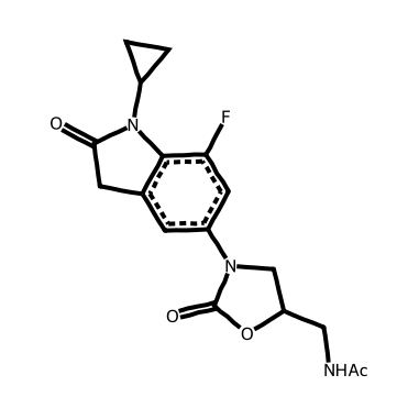 CC(=O)NCC1CN(c2cc(F)c3c(c2)CC(=O)N3C2CC2)C(=O)O1